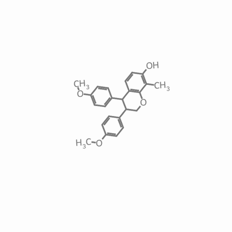 COc1ccc(C2COc3c(ccc(O)c3C)C2c2ccc(OC)cc2)cc1